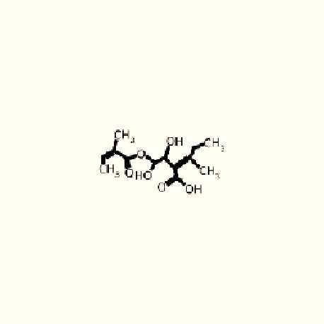 CC=C(C)C(=O)OC(O)C(O)C(C(=O)O)=C(C)CC